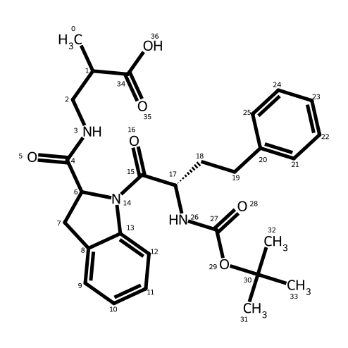 CC(CNC(=O)C1Cc2ccccc2N1C(=O)[C@H](CCc1ccccc1)NC(=O)OC(C)(C)C)C(=O)O